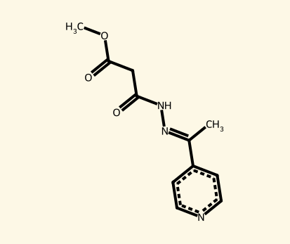 COC(=O)CC(=O)NN=C(C)c1ccncc1